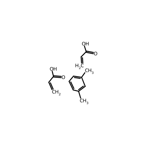 C=CC(=O)O.C=CC(=O)O.Cc1cccc(C)c1